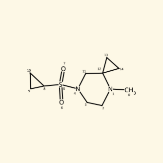 CN1CCN(S(=O)(=O)C2CC2)CC12CC2